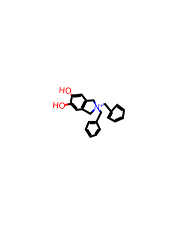 Oc1cc2c(cc1O)C[N+](Cc1ccccc1)(Cc1ccccc1)C2